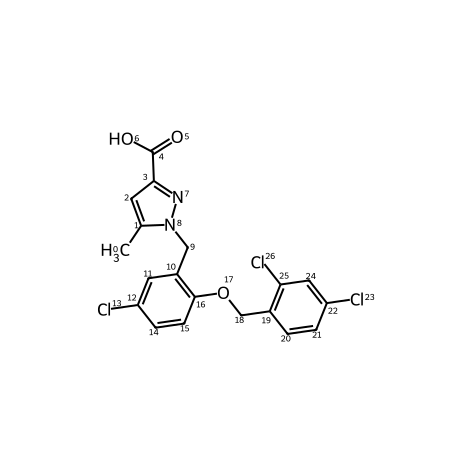 Cc1cc(C(=O)O)nn1Cc1cc(Cl)ccc1OCc1ccc(Cl)cc1Cl